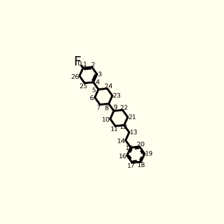 FC1=CC=C(C2CCC(C3CCC(CCc4ccccc4)CC3)CC2)CC1